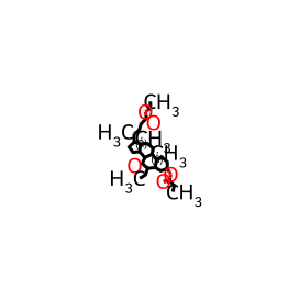 CCOC(=O)CCC(C)C1CCC2C3C(=O)C(CC)C4CC(OC(=O)CC)CC[C@]4(C)C3CC[C@]12C